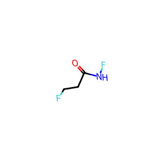 O=C(CCF)NF